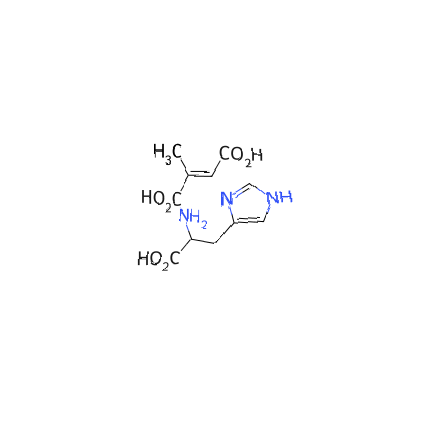 C/C(=C\C(=O)O)C(=O)O.NC(Cc1c[nH]cn1)C(=O)O